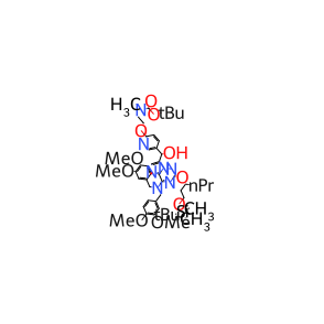 CCCC(CCO[Si](C)(C)C(C)(C)C)Oc1nc(N(Cc2ccc(OC)c(OC)c2)Cc2ccc(OC)c(OC)c2)c2ncc(C(O)c3ccc(OCCN(C)C(=O)OC(C)(C)C)nc3)n2n1